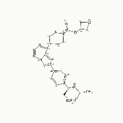 CC(C)N[C@@H](CO)c1ccc(-c2cc3c(N4CCN(C(=O)OC5COC5)CC4)ccnn3c2)cc1